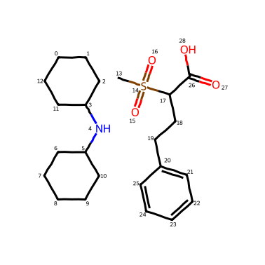 C1CCC(NC2CCCCC2)CC1.CS(=O)(=O)C(CCc1ccccc1)C(=O)O